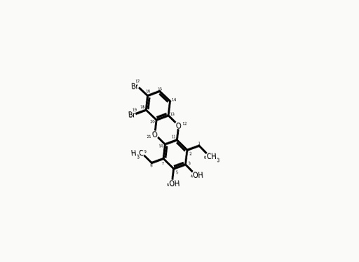 CCc1c(O)c(O)c(CC)c2c1Oc1ccc(Br)c(Br)c1O2